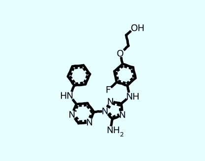 Nc1nc(Nc2ccc(OCCO)cc2F)nn1-c1cc(Nc2ccccc2)ncn1